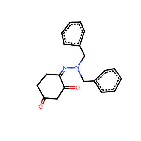 O=C1CCC(=NN(Cc2ccccc2)Cc2ccccc2)C(=O)C1